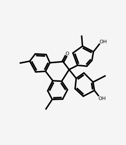 Cc1ccc2c(c1)-c1cc(C)ccc1C(c1ccc(O)c(C)c1)(c1ccc(O)c(C)c1)C2=O